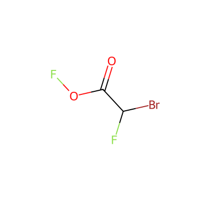 O=C(OF)C(F)Br